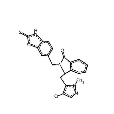 Cn1ncc(Cl)c1CC1c2ccccc2C(=O)N1Cc1ccc2[nH]c(=S)oc2c1